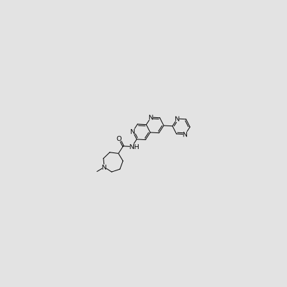 CN1CCCC(C(=O)Nc2cc3cc(-c4cnccn4)cnc3cn2)CC1